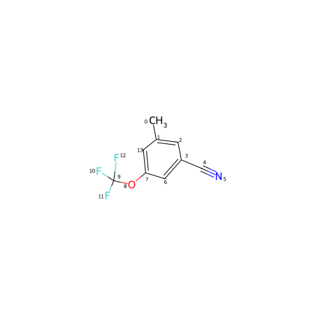 Cc1cc(C#N)cc(OC(F)(F)F)c1